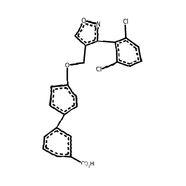 O=C(O)c1cccc(-c2ccc(OCc3conc3-c3c(Cl)cccc3Cl)cc2)c1